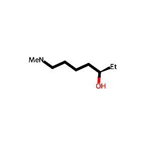 CC[C@@H](O)CCCCNC